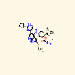 CCCc1cc2c(N[C@H]3CC[C@@](OC(N)=O)(C(C)(C)C)CC3)c(-c3ccnc(N4CCCC4)n3)cnc2[nH]1